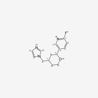 Fc1ccc(C2CC(Cn3ccnc3)CCO2)cn1